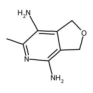 Cc1nc(N)c2c(c1N)COC2